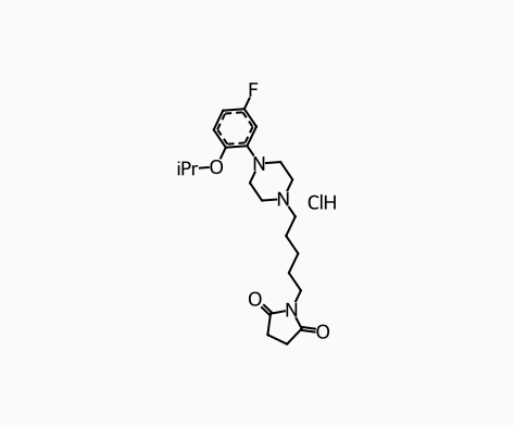 CC(C)Oc1ccc(F)cc1N1CCN(CCCCCN2C(=O)CCC2=O)CC1.Cl